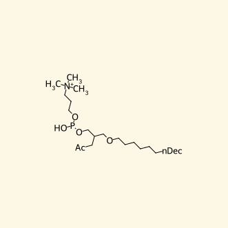 CCCCCCCCCCCCCCCCOCC(COP(O)OCCC[N+](C)(C)C)CC(C)=O